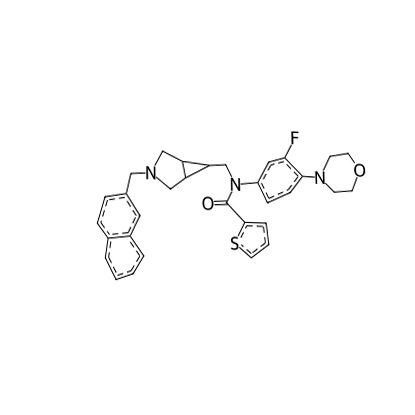 O=C(c1cccs1)N(CC1C2CN(Cc3ccc4ccccc4c3)CC21)c1ccc(N2CCOCC2)c(F)c1